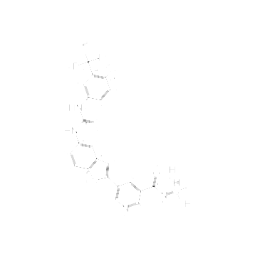 C[SH](C)(O)=NC(=O)c1cncc(-c2cc3cc(NC(=O)Nc4ccc(Cl)c(C(F)(F)F)c4)ccc3s2)c1